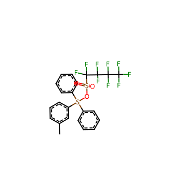 Cc1cccc(S(OS(=O)(=O)C(F)(F)C(F)(F)C(F)(F)C(F)(F)F)(c2ccccc2)c2ccccc2)c1